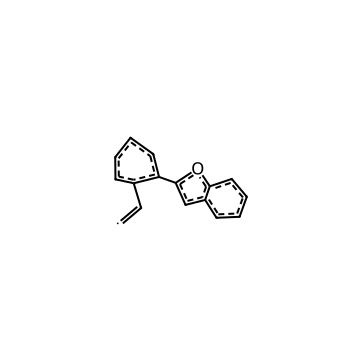 [CH]=Cc1ccccc1-c1cc2ccccc2o1